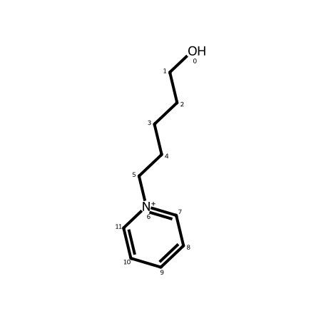 OCCCCC[n+]1ccccc1